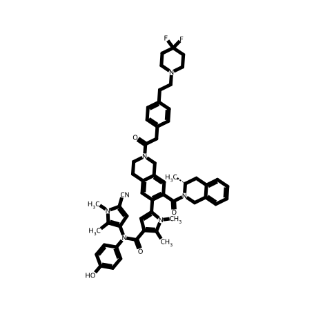 Cc1c(N(C(=O)c2cc(-c3cc4c(cc3C(=O)N3Cc5ccccc5C[C@H]3C)CN(C(=O)Cc3ccc(CCN5CCC(F)(F)CC5)cc3)CC4)n(C)c2C)c2ccc(O)cc2)cc(C#N)n1C